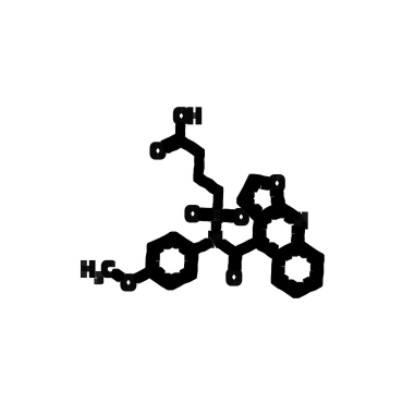 COc1ccc(N(C(=O)c2c3ccccc3nc3occc23)S(=O)(=O)CCCC(=O)O)cc1